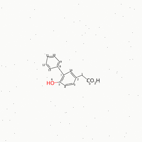 O=C(O)Cc1ccc(O)c(-c2ccccc2)c1